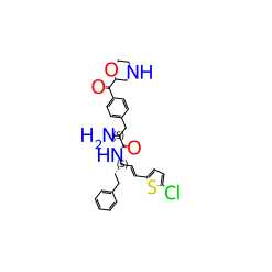 N[C@@H](Cc1ccc(C(=O)C2CNCCO2)cc1)C(=O)N[C@H](C=Cc1ccc(Cl)s1)CCc1ccccc1